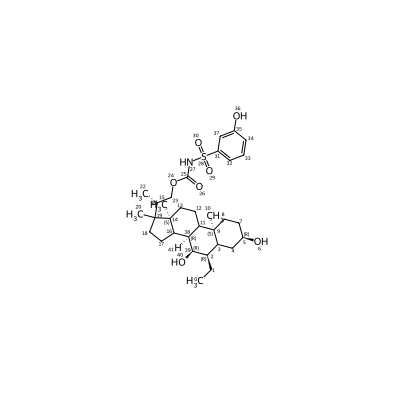 CC[C@@H]1C2C[C@H](O)CC[C@]2(C)C2CC[C@@]3(C)C(CCC3(C)[C@H](C)COC(=O)NS(=O)(=O)c3cccc(O)c3)[C@@H]2[C@@H]1O